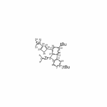 C[C](C)=[Zr][CH]1c2ccc(C(C)(C)C)cc2-c2cc(C(C)(C)C)cc(C3=CC([Si](C)(C)C)=CC3)c21